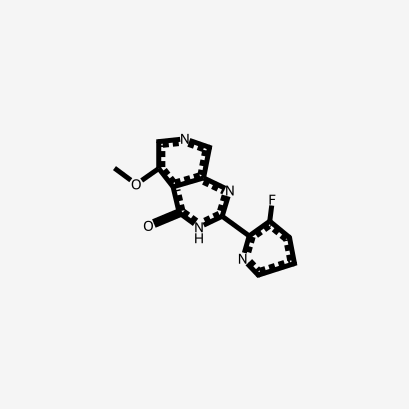 COc1cncc2nc(-c3ncccc3F)[nH]c(=O)c12